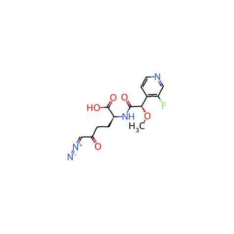 CO[C@@H](C(=O)N[C@@H](CCC(=O)C=[N+]=[N-])C(=O)O)c1ccncc1F